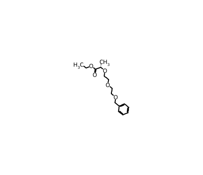 CCOC(=O)[C@H](C)OCCOCCOCc1ccccc1